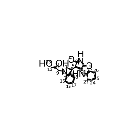 O=C1NC(=O)C(c2cn(CC(O)CO)c3ccccc23)=C1Nc1ccccc1